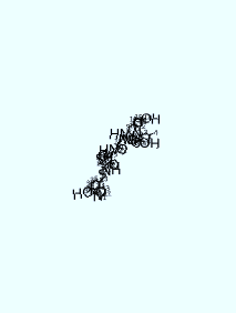 CC(C)CC(NC(=O)[C@H](Cc1ccc(O)cc1)NNCC(=O)NCC(=O)C(=O)[C@H](CS)NSCc1ccc(O)c2ncccc12)C(=O)O